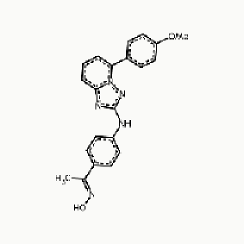 COc1ccc(-c2cccc3nc(Nc4ccc(/C(C)=N/O)cc4)nn23)cc1